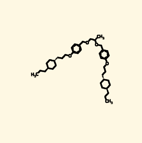 CCC[C@H]1CC[C@H](CCCOc2ccc(COC[C@@H](C)OCc3ccc(OCCC[C@H]4CC[C@H](CCC)CC4)cc3)cc2)CC1